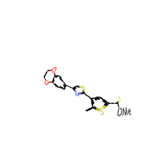 COC(=S)c1cc(-c2nc(-c3ccc4c(c3)OCCO4)cs2)c(C)s1